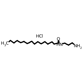 CCCCCCCCCCCCCCCC(=O)NCCCN.Cl